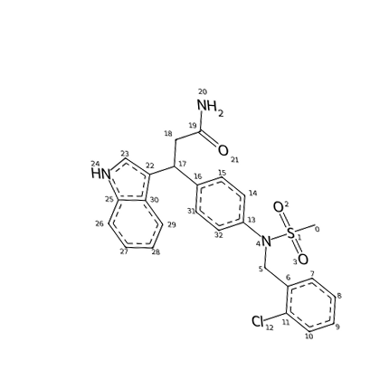 CS(=O)(=O)N(Cc1ccccc1Cl)c1ccc(C(CC(N)=O)c2c[nH]c3ccccc23)cc1